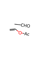 C=COC(C)=O.CC=O